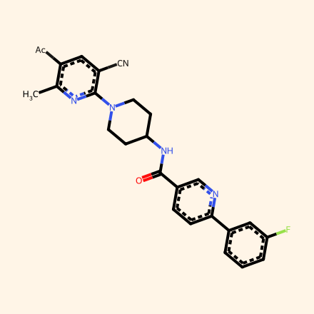 CC(=O)c1cc(C#N)c(N2CCC(NC(=O)c3ccc(-c4cccc(F)c4)nc3)CC2)nc1C